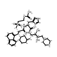 CC(=O)OCCS(=O)(=O)C[C@@H](Cc1cccc2ccccc12)C(=O)N[C@@H](Cc1c[nH]cn1)C(=O)N[C@@H](CC1CCCCC1)[C@@H](O)[C@@H](O)CN1CCOCC1